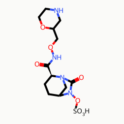 O=C(NOCC1CNCCO1)[C@@H]1CCC2CN1C(=O)N2OS(=O)(=O)O